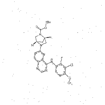 CC(C)(C)OC(=O)N1C[C@@H]2C[C@H]1CN2c1ccc2ncnc(Nc3ccc(OC(F)(F)F)c(Cl)c3F)c2n1